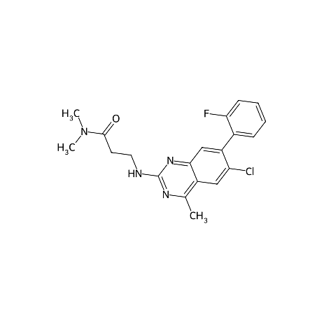 Cc1nc(NCCC(=O)N(C)C)nc2cc(-c3ccccc3F)c(Cl)cc12